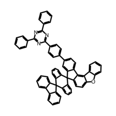 c1ccc(-c2nc(-c3ccccc3)nc(-c3ccc(-c4ccc5c(c4)C4(c6ccccc6C6(c7ccccc7-c7ccccc76)c6ccccc64)c4ccc6oc7ccccc7c6c4-5)cc3)n2)cc1